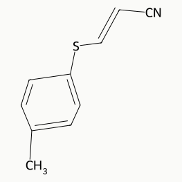 Cc1ccc(SC=CC#N)cc1